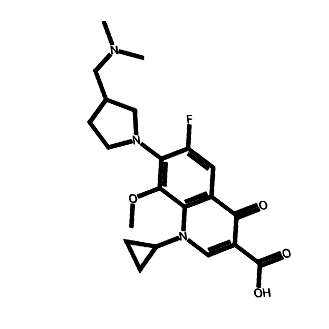 COc1c(N2CCC(CN(C)C)C2)c(F)cc2c(=O)c(C(=O)O)cn(C3CC3)c12